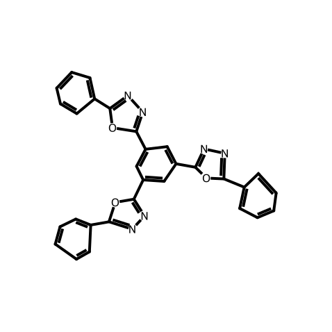 c1ccc(-c2nnc(-c3cc(-c4nnc(-c5ccccc5)o4)cc(-c4nnc(-c5ccccc5)o4)c3)o2)cc1